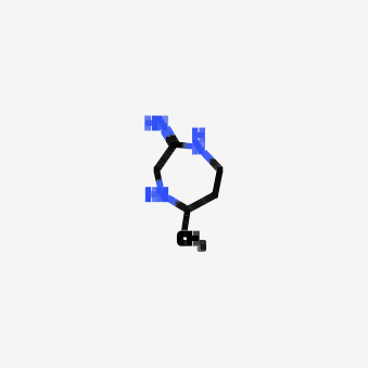 CC1CCNC(=N)CN1